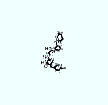 Cc1ccc(Cc2cnc(NCCC(O)Oc3cccc(CN4CCCCC4)c3)[nH]c2=O)cn1